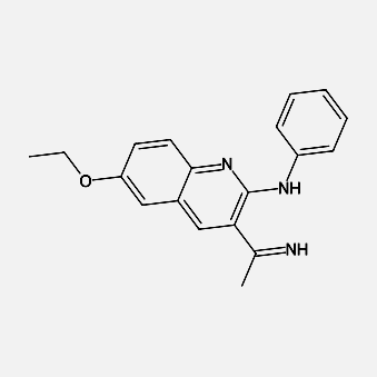 CCOc1ccc2nc(Nc3ccccc3)c(C(C)=N)cc2c1